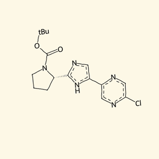 CC(C)(C)OC(=O)N1CCC[C@H]1c1ncc(-c2cnc(Cl)cn2)[nH]1